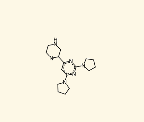 c1c(C2CNCC[N]2)nc(N2CCCC2)nc1N1CCCC1